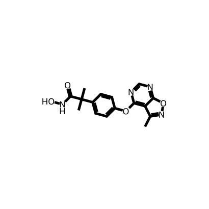 Cc1noc2ncnc(Oc3ccc(C(C)(C)C(=O)NO)cc3)c12